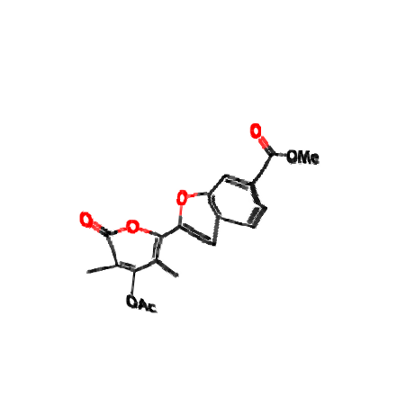 COC(=O)c1ccc2cc(-c3oc(=O)c(C)c(OC(C)=O)c3C)oc2c1